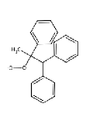 CC(O[O])([C](c1ccccc1)c1ccccc1)c1ccccc1